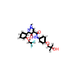 Cn1cc(C(=O)Nc2ccc(OCC(C)(C)O)cc2)c(=O)c(-c2ccccc2OCC(F)F)n1